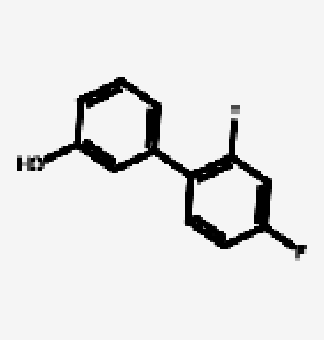 Oc1[c]ccc(-c2ccc(F)cc2F)c1